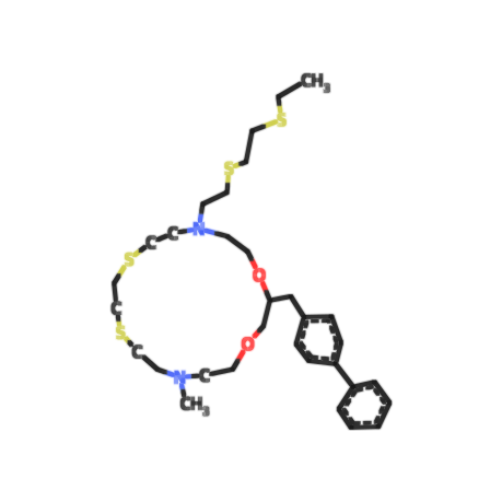 CCSCCSCCN1CCOC(Cc2ccc(-c3ccccc3)cc2)COCCN(C)CCSCCSCC1